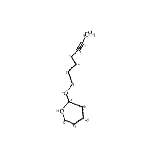 CC#CCCCCOC1CCCCO1